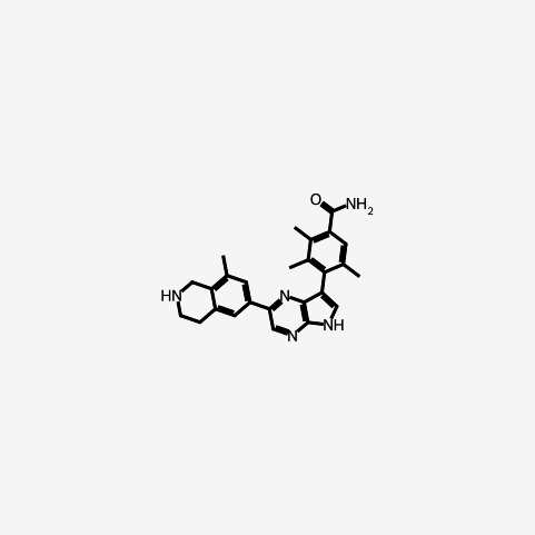 Cc1cc(-c2cnc3[nH]cc(-c4c(C)cc(C(N)=O)c(C)c4C)c3n2)cc2c1CNCC2